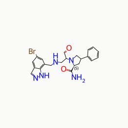 NC(=O)[C@@H]1CC(c2ccccc2)CN1C(C=O)CNCc1cc(Br)cc2cn[nH]c12